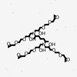 CC(CCCC(C)N(CC(O)COCCOCC1CO1)CC(O)COCCOCC1CO1)N(CC(O)COCCOCC1CO1)CC(O)COCCOCC1CO1